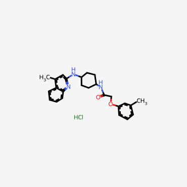 Cc1cccc(OCC(=O)NC2CCC(Nc3cc(C)c4ccccc4n3)CC2)c1.Cl